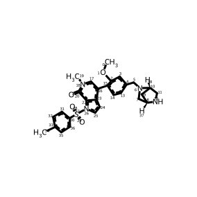 COc1cc(CN2C[C@@H]3C[C@H]2CN3)ccc1-c1cn(C)c(=O)c2c1ccn2S(=O)(=O)c1ccc(C)cc1